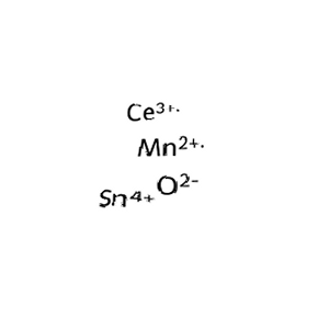 [Ce+3].[Mn+2].[O-2].[Sn+4]